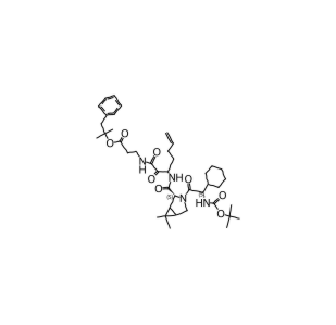 C=CCCC(NC(=O)[C@@H]1C2C(CN1C(=O)[C@@H](NC(=O)OC(C)(C)C)C1CCCCC1)C2(C)C)C(=O)C(=O)NCCC(=O)OC(C)(C)Cc1ccccc1